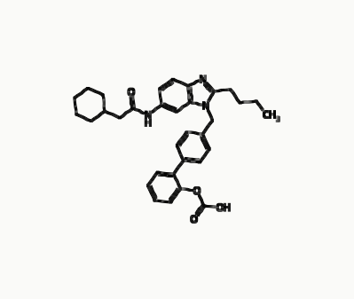 CCCCc1nc2ccc(NC(=O)CC3CCCCC3)cc2n1Cc1ccc(-c2ccccc2OC(=O)O)cc1